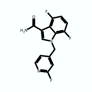 NC(=O)c1cn(Cc2ccnc(F)c2)c2c(F)ccc(F)c12